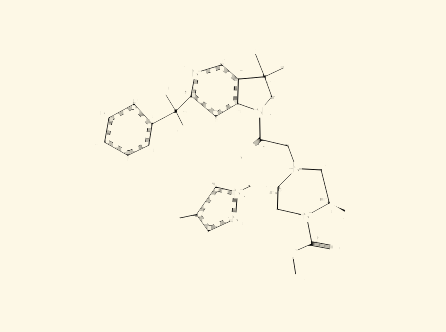 Cc1cnn(C[C@H]2CN(C(=O)OC(C)(C)C)[C@H](C)CN2CC(=O)N2CC(C)(C)c3cnc(C(F)(F)c4ccccc4)cc32)c1